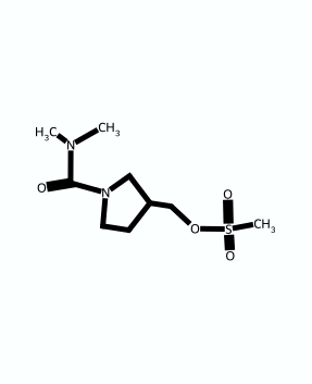 CN(C)C(=O)N1CCC(COS(C)(=O)=O)C1